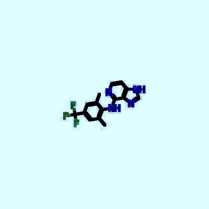 Cc1cc(C(F)(F)F)cc(C)c1Nc1nccc2[nH]cnc12